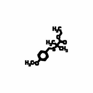 CCOC(=O)C(C)(C)SCc1ccc(OC)cc1